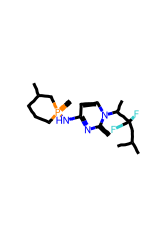 C=C1N=C(NP2(=C)CCCC(C)C2)C=CN1C(C)C(F)(F)CC(C)C